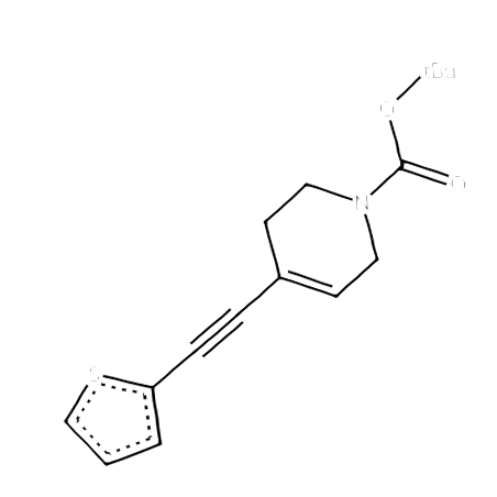 CC(C)(C)OC(=O)N1CC=C(C#Cc2cccs2)CC1